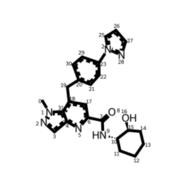 Cn1ncc2nc(C(=O)N[C@H]3CCCC[C@@H]3O)cc(Cc3ccc(-n4cccn4)cc3)c21